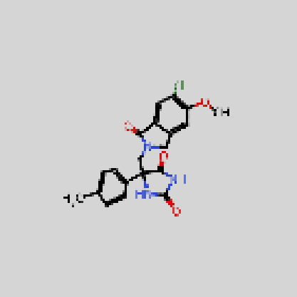 COc1cc2c(cc1Cl)C(=O)N(CC1(c3ccc(C)cc3)NC(=O)NC1=O)C2